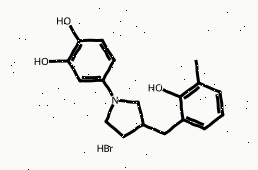 Br.Cc1cccc(CC2CCN(c3ccc(O)c(O)c3)C2)c1O